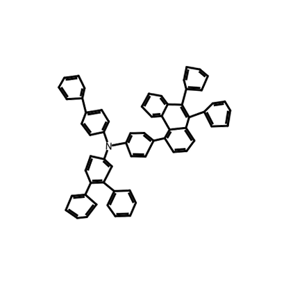 c1ccc(-c2ccc(N(c3ccc(-c4cccc5c(-c6ccccc6)c(-c6ccccc6)c6ccccc6c45)cc3)c3ccc(-c4ccccc4)c(-c4ccccc4)c3)cc2)cc1